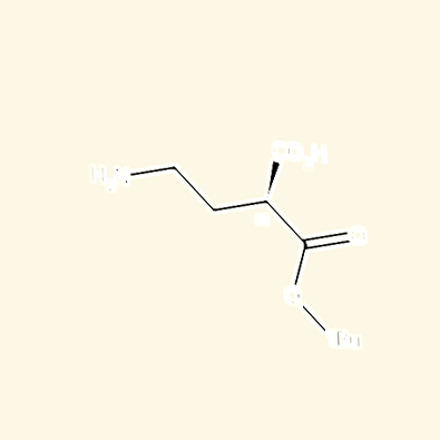 CC(C)(C)OC(=O)[C@@H](CCN)C(=O)O